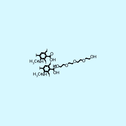 CNc1c(I)cc(I)c(C(=O)O)c1I.CNc1c(I)cc(I)c(C(=O)O)c1I.OCCOCCOCCOCCO